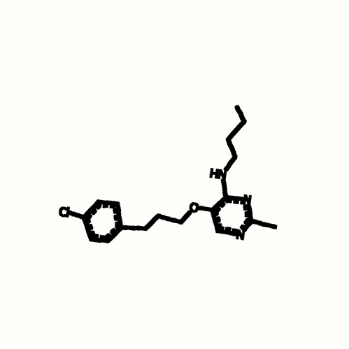 CCCCNc1nc(C)ncc1OCCCc1ccc(Cl)cc1